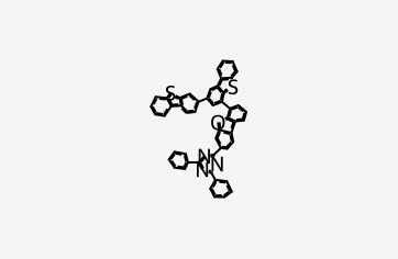 c1ccc(-c2nc(-c3ccccc3)nc(-c3ccc4c(c3)oc3c(-c5cc(-c6ccc7c(c6)sc6ccccc67)cc6c5sc5ccccc56)cccc34)n2)cc1